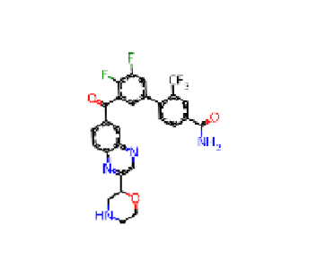 NC(=O)c1ccc(-c2cc(F)c(F)c(C(=O)c3ccc4nc(C5CNCCO5)cnc4c3)c2)c(C(F)(F)F)c1